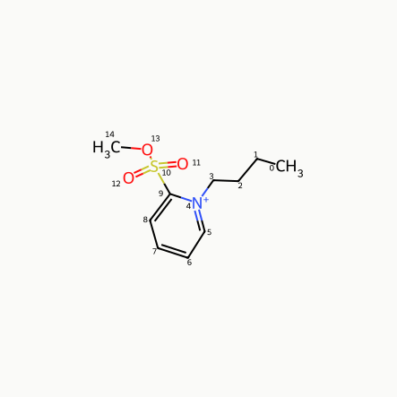 CCCC[n+]1ccccc1S(=O)(=O)OC